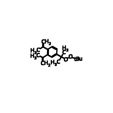 C=C(C)c1ccc(C(C)(C)OOC(C)(C)C)cc1C(=C)C